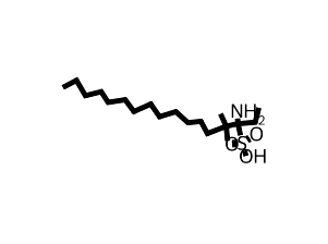 CCCCCCCCCCCCCC(C)(C)C(N)(CC)S(=O)(=O)O